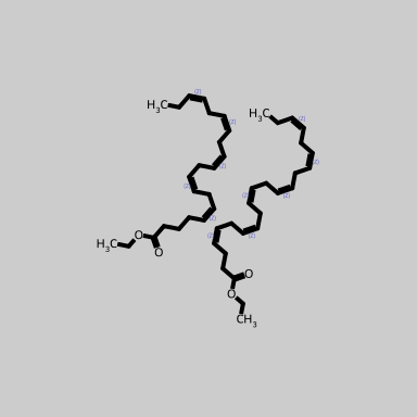 CC/C=C\C/C=C\C/C=C\C/C=C\C/C=C\C/C=C\CCC(=O)OCC.CC/C=C\C/C=C\C/C=C\C/C=C\C/C=C\CCCC(=O)OCC